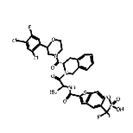 CC(C)(C)C(NC(=O)c1cc2cc(C(F)(F)P(=O)(O)O)ccc2s1)C(=O)N1Cc2ccccc2C[C@H]1C(=O)N1CCOC(c2cc(F)c(Cl)cc2Cl)C1